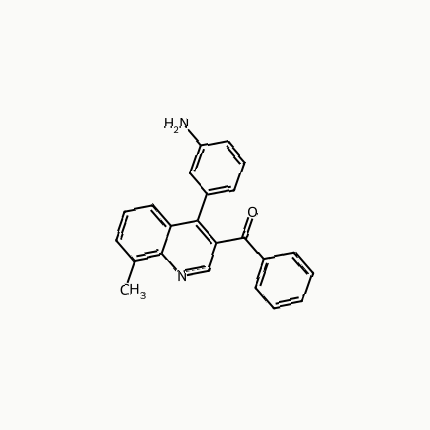 Cc1cccc2c(-c3cccc(N)c3)c(C(=O)c3ccccc3)cnc12